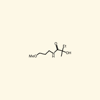 CCC(C)(O)C(=O)NCCCOC